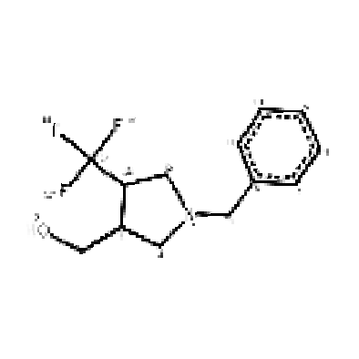 OCC1CN(Cc2ccccc2)CC1C(F)(F)F